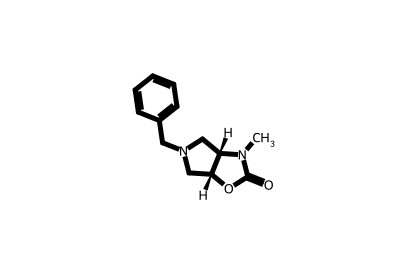 CN1C(=O)O[C@@H]2CN(Cc3ccccc3)C[C@@H]21